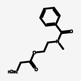 CCCCCCCCCCCC(=O)OCCN(C)C(=O)c1ccccc1